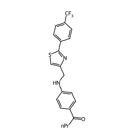 CCCC(=O)c1ccc(NCc2csc(-c3ccc(C(F)(F)F)cc3)n2)cc1